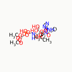 CC(=O)OCC(COP(=O)(O)OCCNCC(O)C1OB([C@H](CC(C)C)NC(=O)[C@H](Cc2ccccc2)NC(=O)c2cnccn2)O[C@@H]1C(O)CO)OC(C)=O